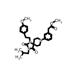 COC(=O)Cc1cccc(N2CCC3(CC2)C(=O)N(CC(C)C)C(=O)N3CCc2ccc(OC)cc2)c1